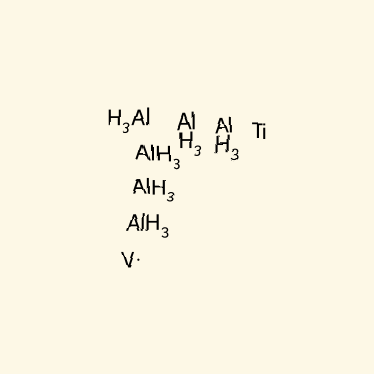 [AlH3].[AlH3].[AlH3].[AlH3].[AlH3].[AlH3].[Ti].[V]